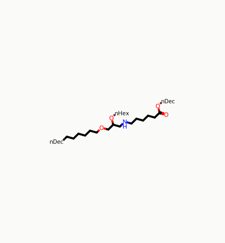 CCCCCCCCCCCCCCCCOCC(CNCCCCCC(=O)OCCCCCCCCCC)OCCCCCC